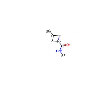 CCNC(=O)N1CC(C(C)(C)C)C1